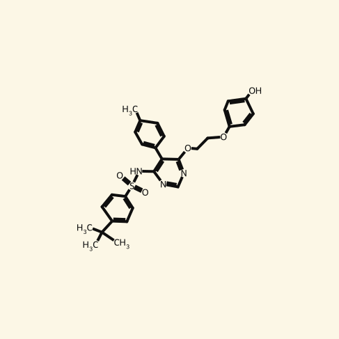 Cc1ccc(-c2c(NS(=O)(=O)c3ccc(C(C)(C)C)cc3)ncnc2OCCOc2ccc(O)cc2)cc1